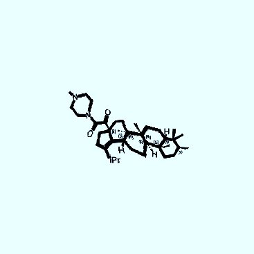 CC(C)C1=C2[C@H]3CC[C@@H]4[C@@]5(C)CC[C@H](C)C(C)(C)[C@@H]5CC[C@@]4(C)[C@]3(C)CC[C@@]2(C(=O)C(=O)N2CCN(C)CC2)CC1